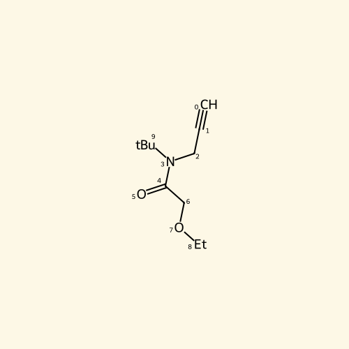 C#CCN(C(=O)COCC)C(C)(C)C